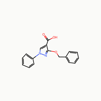 O=C(O)c1cn(-c2ccccc2)nc1OCc1ccccc1